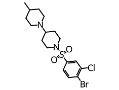 CC1CCN(C2CCN(S(=O)(=O)c3ccc(Br)c(Cl)c3)CC2)CC1